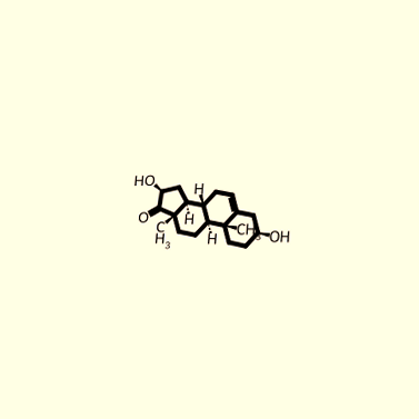 C[C@]12CC[C@H](O)CC1=CC[C@@H]1[C@@H]2CC[C@]2(C)C(=O)[C@@H](O)C[C@@H]12